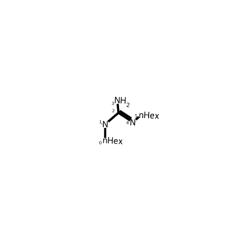 CCCCCC[N]C(N)=NCCCCCC